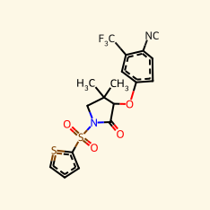 [C-]#[N+]c1ccc(OC2C(=O)N(S(=O)(=O)c3cccs3)CC2(C)C)cc1C(F)(F)F